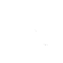 Cc1ccc(-c2csc(CC(N)=O)n2)c(C)c1